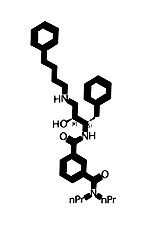 CCCN(CCC)C(=O)c1cccc(C(=O)N[C@@H](Cc2ccccc2)[C@H](O)CNCCCCc2ccccc2)c1